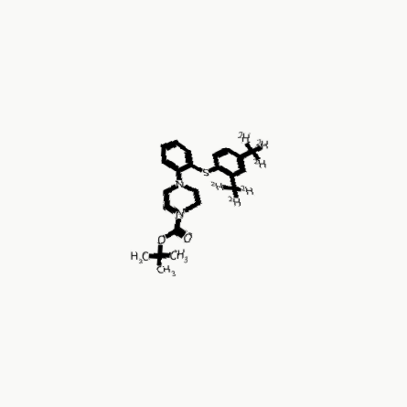 [2H]C([2H])([2H])c1ccc(Sc2ccccc2N2CCN(C(=O)OC(C)(C)C)CC2)c(C([2H])([2H])[2H])c1